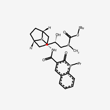 CC(C)n1c(=O)c(C(=O)N[C@H]2C[C@H]3CC[C@@H](C2)N3C[C@H](O)CN(C)C(=O)OC(C)(C)C)cc2ccccc21